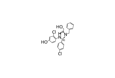 C[C@@H](CO)N(Cc1ccccc1)C[C@H](Nc1ccc(O)cc1Cl)c1ccc(Cl)cc1